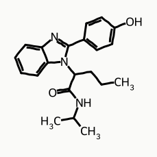 CCCC(C(=O)NC(C)C)n1c(-c2ccc(O)cc2)nc2ccccc21